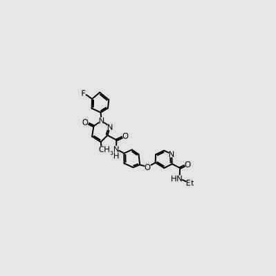 CCNC(=O)c1cc(Oc2ccc(NC(=O)c3nn(-c4cccc(F)c4)c(=O)cc3C)cc2)ccn1